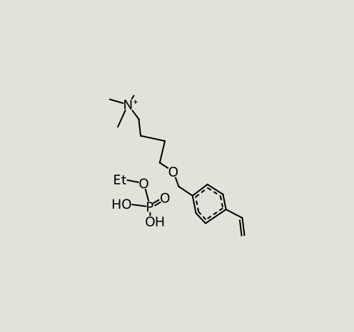 C=Cc1ccc(COCCCC[N+](C)(C)C)cc1.CCOP(=O)(O)O